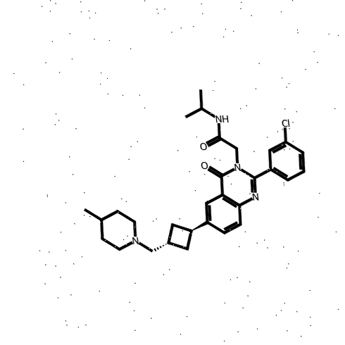 CC1CCN(C[C@H]2C[C@H](c3ccc4nc(-c5cccc(Cl)c5)n(CC(=O)NC(C)C)c(=O)c4c3)C2)CC1